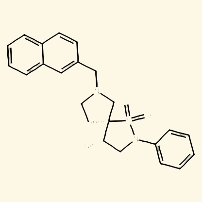 C[C@H]1CN(c2ccccc2)S(=O)(=O)[C@@]12CCN(Cc1ccc3ccccc3c1)C2